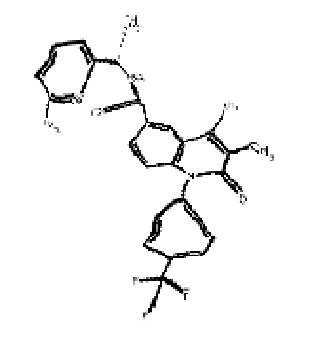 Cc1c(C)c2cc(C(=O)N[C@@H](C)c3cccc(N)n3)ccc2n(-c2ccc(C(F)(F)F)cc2)c1=O